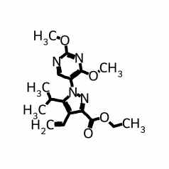 C=Cc1c(C(=O)OCC)nn(-c2cnc(OC)nc2OC)c1C(C)C